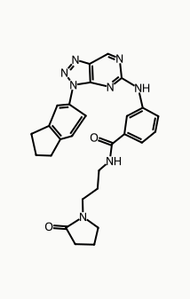 O=C(NCCCN1CCCC1=O)c1cccc(Nc2ncc3nnn(-c4ccc5c(c4)CCC5)c3n2)c1